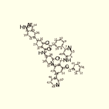 O=C(Nc1ccnc(-c2cccc(COc3cc(-c4ccc5[nH]ncc5c4)ccc3C(=O)Nc3ccncc3)c2)c1)c1ccc(-c2cccnc2)cc1OCc1ccccc1